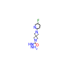 NNC(=O)N1CC2(C1)CN(c1ccc(F)cn1)C2